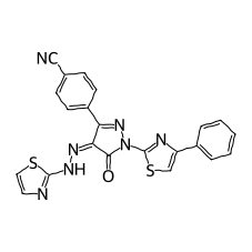 N#Cc1ccc(C2=NN(c3nc(-c4ccccc4)cs3)C(=O)/C2=N\Nc2nccs2)cc1